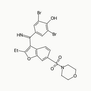 CCc1oc2cc(S(=O)(=O)N3CCOCC3)ccc2c1C(=N)c1cc(Br)c(O)c(Br)c1